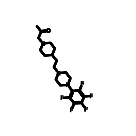 CC(=O)CN1CCC(CCN2CCN(c3c(F)c(F)c(F)c(F)c3F)CC2)CC1